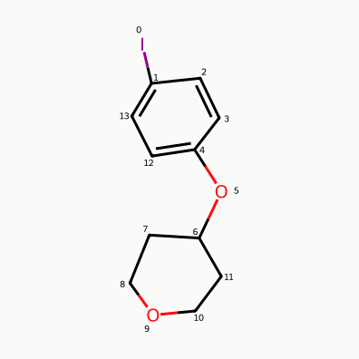 Ic1ccc(OC2CCOCC2)cc1